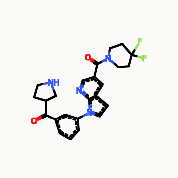 O=C(c1cccc(-n2ccc3cc(C(=O)N4CCC(F)(F)CC4)cnc32)c1)C1CCNC1